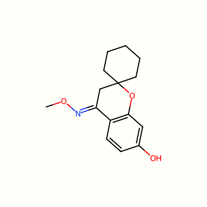 CON=C1CC2(CCCCC2)Oc2cc(O)ccc21